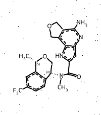 C[C@@H]1OC[C@H](N(C)C(=O)c2cc3nc(N)c4c(c3[nH]2)COC4)c2ccc(C(F)(F)F)cc21